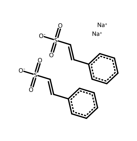 O=S(=O)([O-])C=Cc1ccccc1.O=S(=O)([O-])C=Cc1ccccc1.[Na+].[Na+]